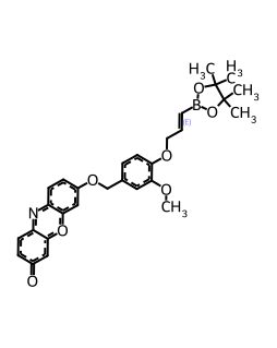 COc1cc(COc2ccc3nc4ccc(=O)cc-4oc3c2)ccc1OC/C=C/B1OC(C)(C)C(C)(C)O1